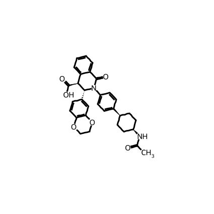 CC(=O)N[C@H]1CC[C@@H](c2ccc(N3C(=O)c4ccccc4[C@H](C(=O)O)[C@H]3c3ccc4c(c3)OCCO4)cc2)CC1